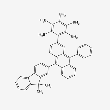 Bc1c(B)c(B)c(-c2ccc3c(-c4ccc5c(c4)C(C)(C)c4ccccc4-5)c4ccccc4c(-c4ccccc4)c3c2)c(B)c1B